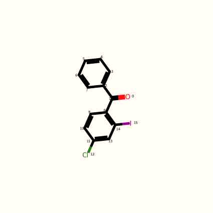 O=C(c1ccccc1)c1ccc(Cl)cc1I